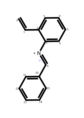 C=Cc1ccccc1/N=C/c1ccccc1